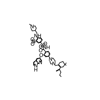 C=C(CCC)C1=C(CN2CCN(c3ccc(C(=O)NS(=O)(=O)c4ccc(NCC5CCN(C)CC5)c([N+](=O)[O-])c4)c(Oc4cnc5[nH]ccc5c4)c3)CC2)CCC(C)(C)C1